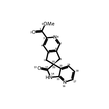 COC(=O)c1cc2c(cn1)C[C@]1(C2)C(=O)Nc2ncccc21